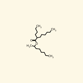 CCCCCCC(C)OC(=O)C(CCCC)CCCCCC